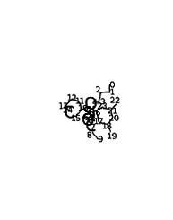 CCCCO[Si](OCCC)(C1CCCCC1)C1CC(C)CC(C)C1